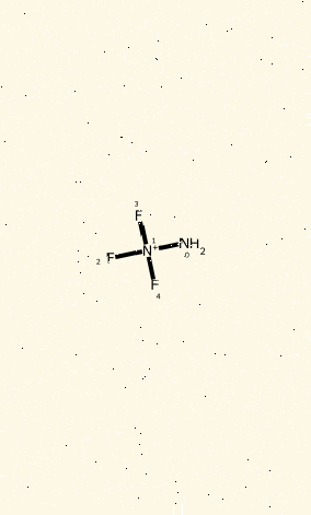 N[N+](F)(F)F